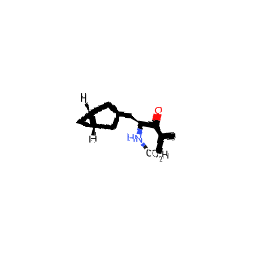 C=C(C)C(=O)[C@H](CC1C[C@@H]2C[C@@H]2C1)NC(=O)O